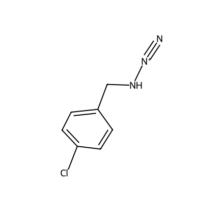 N#[N+]NCc1ccc(Cl)cc1